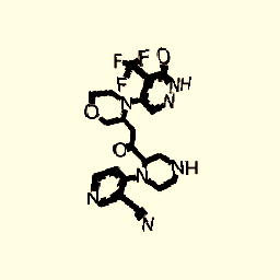 N#Cc1cnccc1N1CCNCC1C(=O)CC1COCCN1c1cn[nH]c(=O)c1C(F)(F)F